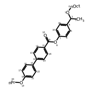 CCCCCCCCOC(C)c1ccc(OC(=O)c2ccc(-c3ccc(OCCC)cc3)cc2)cc1